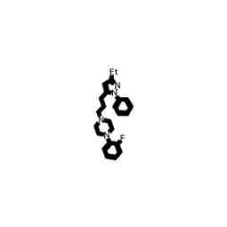 CCc1cc(CCCN2CCN(c3ccccc3F)CC2)n(-c2ccccc2)n1